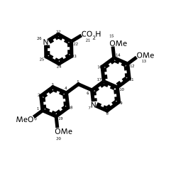 COc1ccc(Cc2nccc3cc(OC)c(OC)cc23)cc1OC.O=C(O)c1cccnc1